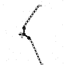 CCC(=O)Nc1cc(C#Cc2ccc(COCCOCCOCCOCCOCCOCCOCCOCCS)cc2)cc(C#Cc2ccc(COCCOCCOCCOCCOCCOCCOCCOCCS)cc2)c1